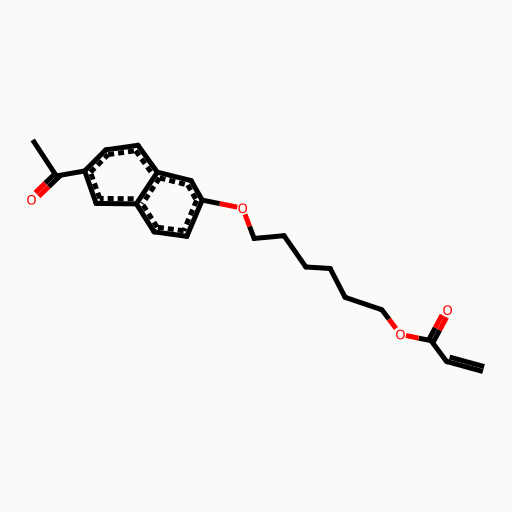 C=CC(=O)OCCCCCCOc1ccc2cc(C(C)=O)ccc2c1